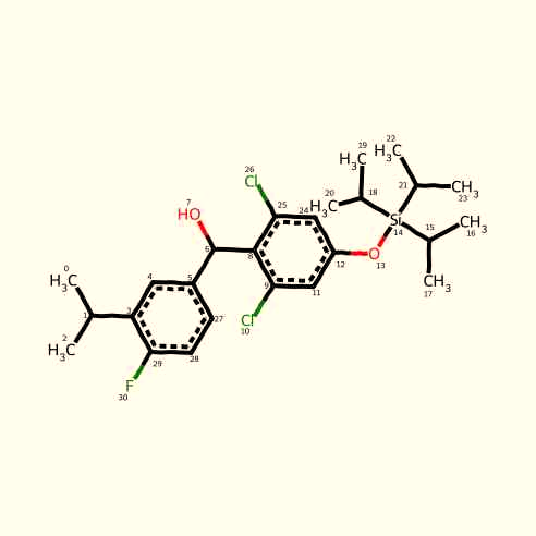 CC(C)c1cc(C(O)c2c(Cl)cc(O[Si](C(C)C)(C(C)C)C(C)C)cc2Cl)ccc1F